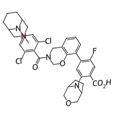 CN1CC2CCCC(C1)N2c1cc(Cl)c(C(=O)N2COc3c(cccc3-c3cc(N4C5CCC4COC5)c(C(=O)O)cc3F)C2)c(Cl)c1